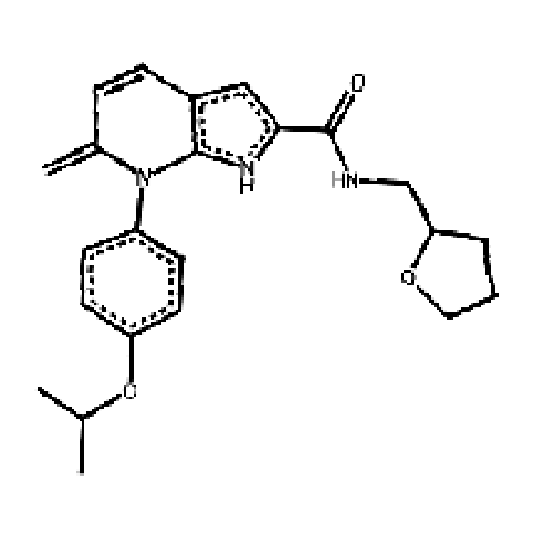 C=C1C=Cc2cc(C(=O)NCC3CCCO3)[nH]c2N1c1ccc(OC(C)C)cc1